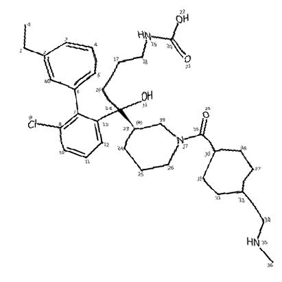 CCc1cccc(-c2c(Cl)cccc2C(O)(CCCNC(=O)O)[C@@H]2CCCN(C(=O)C3CCC(CNC)CC3)C2)c1